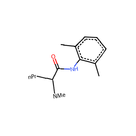 CCCC(NC)C(=O)Nc1c(C)cccc1C